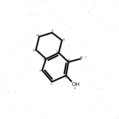 Oc1ccc2c(c1F)CCCC2